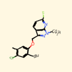 Cc1cc(OCc2nn(C(=O)O)c3nc(F)ccc23)c(C(C)(C)C)cc1Cl